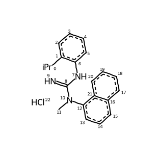 CC(C)c1ccccc1NC(=N)N(C)c1cccc2ccccc12.Cl